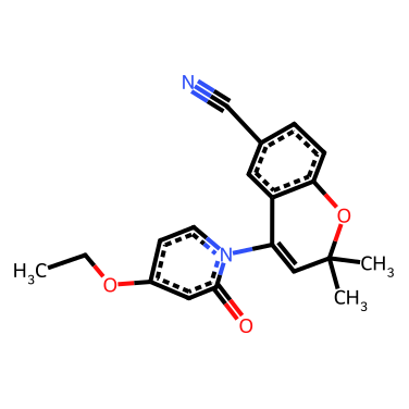 CCOc1ccn(C2=CC(C)(C)Oc3ccc(C#N)cc32)c(=O)c1